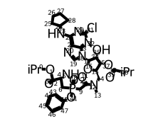 CC(C)OC(=O)[C@H](N)CP(=O)(CC(=O)N(C)C[C@H]1O[C@@H](n2cnc3c(NC4CCCC4)nc(Cl)nc32)[C@H](O)[C@@H]1OC(=O)C(C)C)Oc1ccccc1